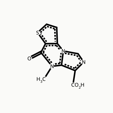 Cn1c(=O)c2sccc2n2cnc(C(=O)O)c12